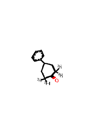 [2H]C1([2H])CC(c2ccccc2)CC([2H])([2H])C1=O